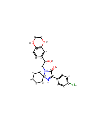 O=C(CN1C(=O)C(c2ccc(Cl)cc2)=NC12CCCCC2)c1ccc2c(c1)OCCO2